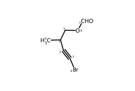 CC(C#CBr)CO[C]=O